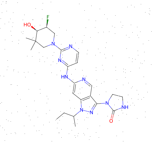 CCC(C)n1nc(N2CCNC2=O)c2cnc(Nc3ccnc(N4C[C@H](F)[C@H](O)C(C)(C)C4)n3)cc21